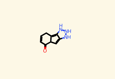 O=C1C=CCC2=C3NNNC3=CC12